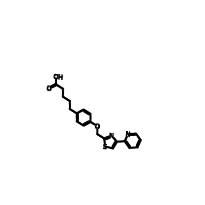 O=C(O)CCCCc1ccc(OCc2nc(-c3ccccn3)cs2)cc1